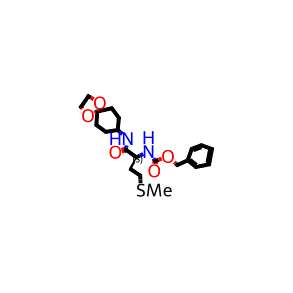 CSCC[C@H](NC(=O)OCc1ccccc1)C(=O)NC1CCC2(CC1)OCCO2